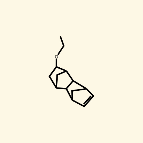 CCOC1CC2CC1C1C3C=CC(C3)C21